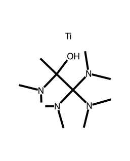 CN(C)C(C)(O)C(N(C)C)(N(C)C)N(C)C.[Ti]